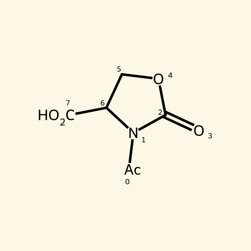 CC(=O)N1C(=O)OCC1C(=O)O